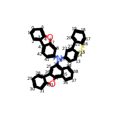 c1ccc2c(c1)oc1cc(N(c3ccc4sc5ccccc5c4c3)c3cc4c5ccccc5oc4c4ccccc34)ccc12